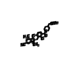 COCC1CCN(C(=O)c2ccc(Cl)c(Cc3cc4c(C)cc(C#N)cc4n3C)c2Cl)CC1